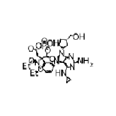 CCON(OCC)[C@@]1(c2ccccc2)CC(=O)OP(=O)(O)OC1=O.Nc1nc(NC2CC2)c2ncn([C@H]3C=C[C@@H](CO)C3)c2n1